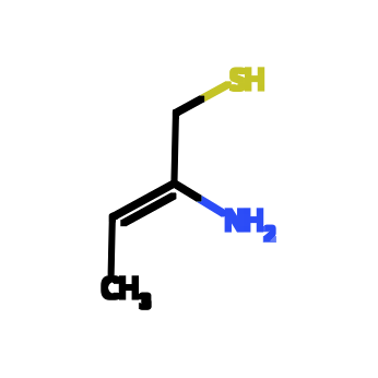 CC=C(N)CS